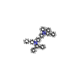 c1ccc(-c2ccc(N(c3ccc(-c4ccc(N(c5ccccc5)c5ccc(-c6ccccc6)c6ccccc56)cc4)cc3)c3cc(-c4ccccc4)cc(-c4ccccc4)c3)cc2)cc1